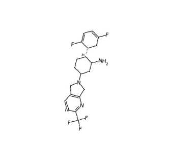 NC1CC(N2Cc3cnc(C(F)(F)F)nc3C2)CC[C@@H]1C1CC(F)=CC=C1F